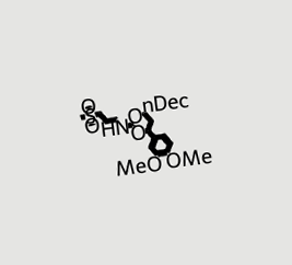 CCCCCCCCCCCCC(OC(=O)NCCCS(C)(=O)=O)c1ccc(OC)c(OC)c1